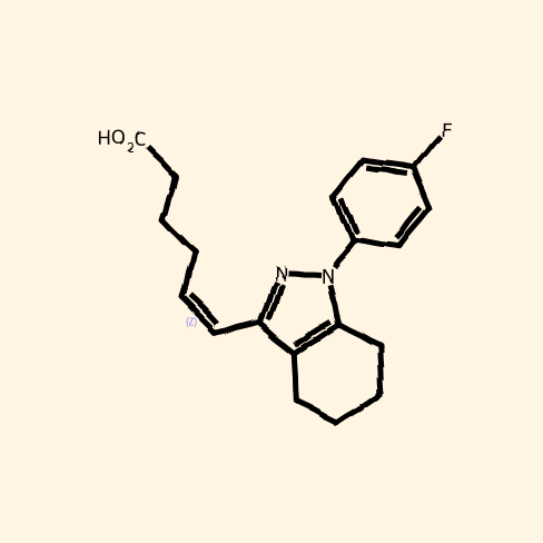 O=C(O)CCC/C=C\c1nn(-c2ccc(F)cc2)c2c1CCCC2